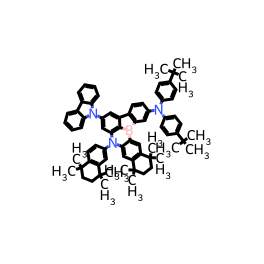 CC(C)(C)c1ccc(N(c2ccc(C(C)(C)C)cc2)c2ccc3c(c2)B2c4cc5c(cc4N(c4ccc6c(c4)C(C)(C)CCC6(C)C)c4cc(-n6c7ccccc7c7ccccc76)cc-3c42)C(C)(C)CCC5(C)C)cc1